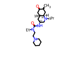 C=C1C[C@@H]2[C@@H](CC1=O)C[C@H](NC(=O)N(CC)CCN1CCCCC1)CN2CCC